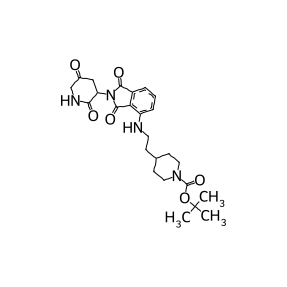 CC(C)(C)OC(=O)N1CCC(CCNc2cccc3c2C(=O)N(C2CC(=O)CNC2=O)C3=O)CC1